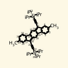 Cc1ccc2c(c1)C(C#C[Si](C(C)C)(C(C)C)C(C)C)=c1cc3c(cc1-2)=C(C#C[Si](C(C)C)(C(C)C)C(C)C)c1cc(C)ccc1-3